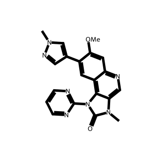 COc1cc2ncc3c(c2cc1-c1cnn(C)c1)n(-c1ncccn1)c(=O)n3C